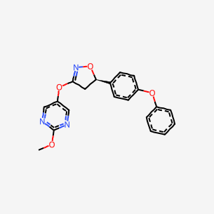 COc1ncc(OC2=NO[C@@H](c3ccc(Oc4ccccc4)cc3)C2)cn1